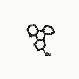 CC(C)(C)c1cnc2c(c1)c1ccccc1c1cccnc12